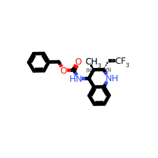 C[C@@H]1C(NC(=O)OCc2ccccc2)c2ccccc2N[C@H]1CC(F)(F)F